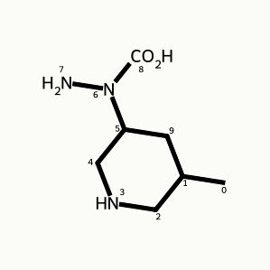 CC1CNCC(N(N)C(=O)O)C1